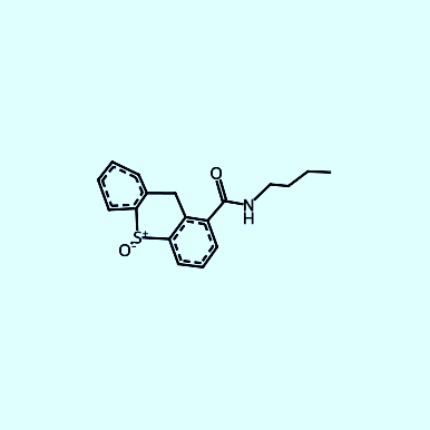 CCCCNC(=O)c1cccc2c1Cc1ccccc1[S+]2[O-]